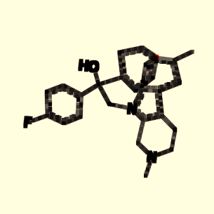 Cc1ccc2c(c1)c1c(n2CC(O)(c2ccccc2)c2ccc(F)cc2)CN(C)CC1